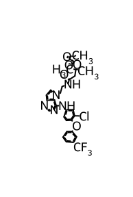 CC(C)(CC(=O)NCCn1ccc2ncnc(Nc3ccc(Oc4cccc(C(F)(F)F)c4)c(Cl)c3)c21)OS(C)(=O)=O